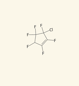 FC1=C(F)C(F)(Cl)C(F)(F)C1F